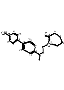 CC(CCN1CCCCC1C)c1ccc(-c2ccc(Cl)cc2)cc1